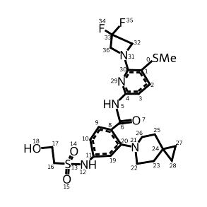 CSc1ccc(NC(=O)c2ccc(NS(=O)(=O)CCO)cc2N2CCC3(CC2)CC3)nc1N1CC(F)(F)C1